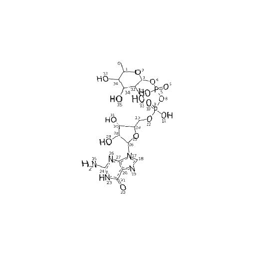 CC1OC(OP(=O)(O)OP(=O)(O)OCC2OC(n3cnc4c(=O)[nH]c(N)nc43)C(O)C2O)C(O)C(O)C1O